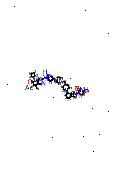 CC(=O)c1c(C)c2cnc(Nc3ccc(N4CCN(CC5CCN(c6cccc7c6CN(C6CCC(=O)NC6=O)C7)CC5)CC4)cn3)nc2n(C2CCCC2)c1=O